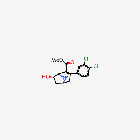 COC(=O)C1=C(c2ccc(Cl)c(Cl)c2)CC2C[C@@H](O)C1N2C